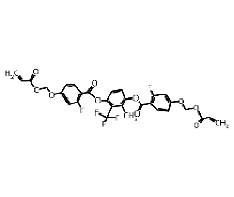 C=CC(=O)OCOc1ccc(C(=O)Oc2ccc(OC(=O)c3ccc(OCOC(=O)C=C)cc3F)c(C(F)(F)F)c2C)c(F)c1